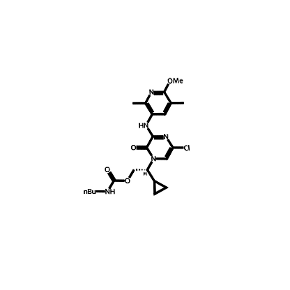 CCCCNC(=O)OC[C@@H](C1CC1)n1cc(Cl)nc(Nc2cc(C)c(OC)nc2C)c1=O